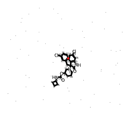 O=C(NC1CCC1)OC1CCCN(C2(Cc3cccc(Cl)c3)C(=O)Nc3cc(Cl)ccc32)C1